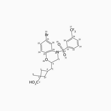 CC1(C(=O)O)CC(CC2CN(S(=O)(=O)c3cccc(C(F)(F)F)c3)c3cc(Br)ccc3O2)C1